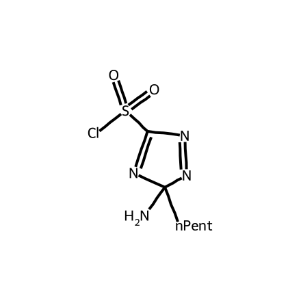 CCCCCC1(N)N=NC(S(=O)(=O)Cl)=N1